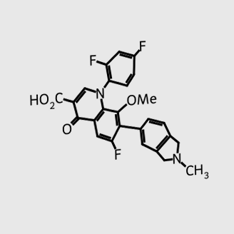 COc1c(-c2ccc3c(c2)CN(C)C3)c(F)cc2c(=O)c(C(=O)O)cn(-c3ccc(F)cc3F)c12